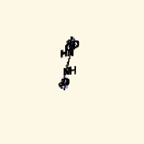 C=C/C=C(/C(C)=O)c1c(C)cccc1C(=O)/C=C/CCCNCCCCCCCCCCNCCCN1C(=O)/C(=C/C)c2c(C=C)cccc2C1=O